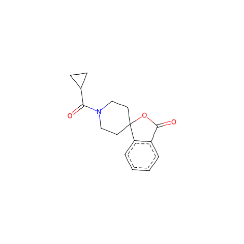 O=C1OC2(CCN(C(=O)C3CC3)CC2)c2ccccc21